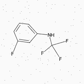 Fc1cccc(NC(F)(F)F)c1